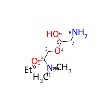 CCOC(COC(O)CN)N(C)C